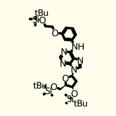 CC(C)(C)[Si](C)(C)OCCOc1cccc(Nc2ncnc3c2ncn3[C@H]2C[C@H](O[Si](C)(C)C(C)(C)C)[C@@H](CO[Si](C)(C)C(C)(C)C)O2)c1